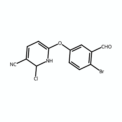 N#CC1=CC=C(Oc2ccc(Br)c(C=O)c2)NC1Cl